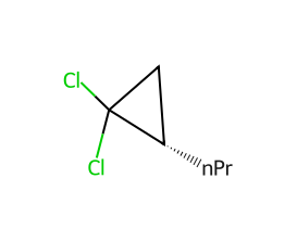 CCC[C@H]1CC1(Cl)Cl